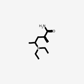 C=C(CC(C)N(CC)CC)C(N)=O